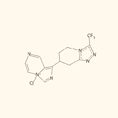 FC(F)(F)c1nnc2n1CCC(C1=C3C=NC=C[N+]3(Cl)C=N1)C2